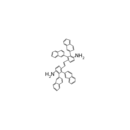 Nc1ccc(/C=C/c2ccc(N)c(-c3ccc4ccccc4c3)c2-c2ccc3ccccc3c2)c(-c2ccc3ccccc3c2)c1-c1ccc2ccccc2c1